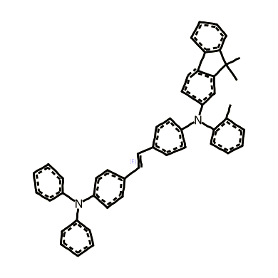 Cc1ccccc1N(c1ccc(/C=C/c2ccc(N(c3ccccc3)c3ccccc3)cc2)cc1)c1ccc2c(c1)C(C)(C)c1ccccc1-2